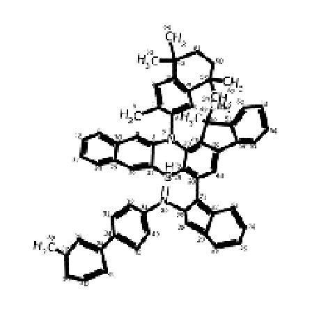 Cc1cc2c(cc1N1c3cc4ccccc4cc3Bc3c(C4=c5ccccc5=CC4Nc4ccc(C5=C[C@H](C)CC=C5)cc4)cc4c(c31)C(C)(C)c1ccccc1-4)C(C)(C)CCC2(C)C